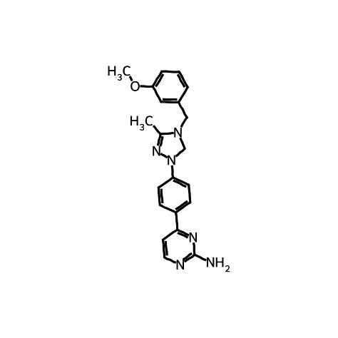 COc1cccc(CN2CN(c3ccc(-c4ccnc(N)n4)cc3)N=C2C)c1